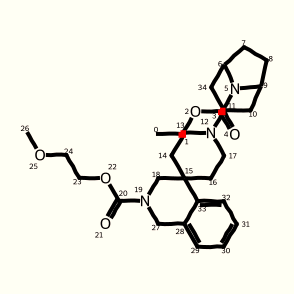 CCOC(=O)N1C2CCC1CC(N1CCC3(CC1)CN(C(=O)OCCOC)Cc1ccccc13)C2